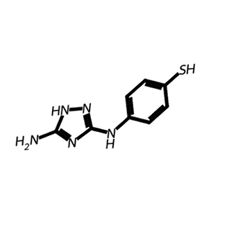 Nc1nc(Nc2ccc(S)cc2)n[nH]1